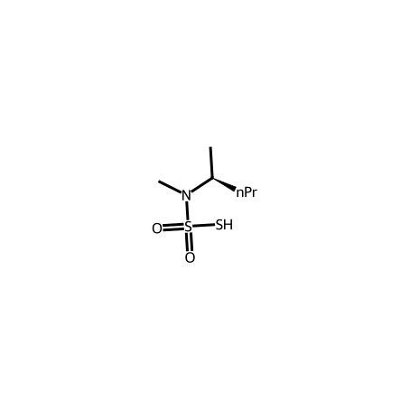 CCC[C@H](C)N(C)S(=O)(=O)S